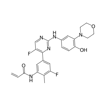 C=CC(=O)Nc1cc(-c2nc(Nc3ccc(O)c(N4CCOCC4)c3)ncc2F)cc(F)c1C